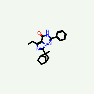 CCc1nc(C2(C)CC3CCC2C3)n2nc(-c3ccccc3)[nH]c(=O)c12